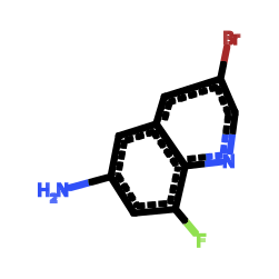 Nc1cc(F)c2ncc(Br)cc2c1